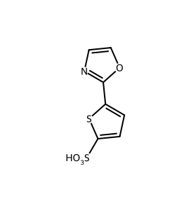 O=S(=O)(O)c1ccc(-c2ncco2)s1